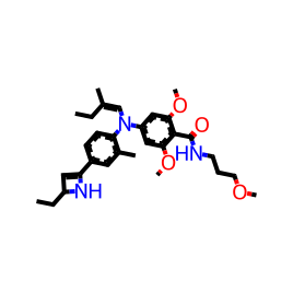 CC/C(C)=C\N(c1cc(OC)c(C(=O)NCCCOC)c(OC)c1)c1ccc(C2=CC(CC)N2)cc1C